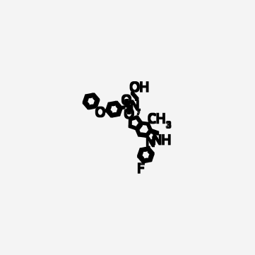 C[C@H]1C2=CNN(c3ccc(F)cc3)C2=CC2=C1[C@@H](CN(CCO)S(=O)(=O)c1ccc(Oc3ccccc3)cc1)CC2